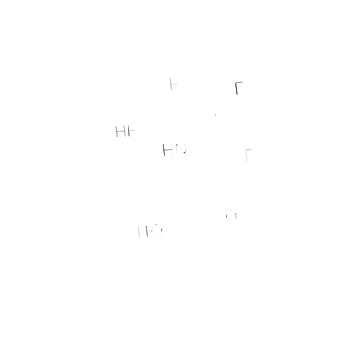 F.O=C(O)NC(F)(F)F